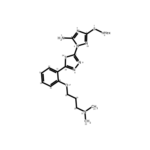 CCCCCCSc1nc(N)n(-c2nnc(-c3ccccc3OCCCN(C)C)s2)n1